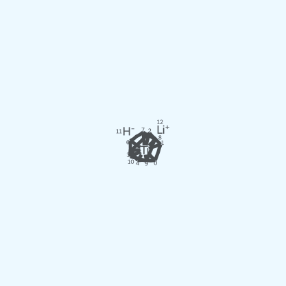 [CH]12[CH]3[CH]4[CH]5[CH]1[Ti]23451678[CH]2[CH]1[CH]6[CH]7[CH]28.[H-].[Li+]